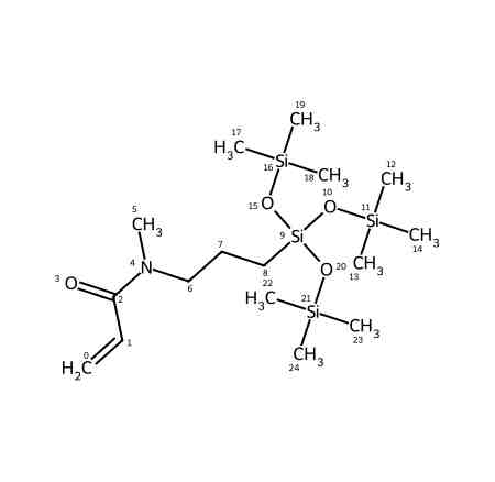 C=CC(=O)N(C)CCC[Si](O[Si](C)(C)C)(O[Si](C)(C)C)O[Si](C)(C)C